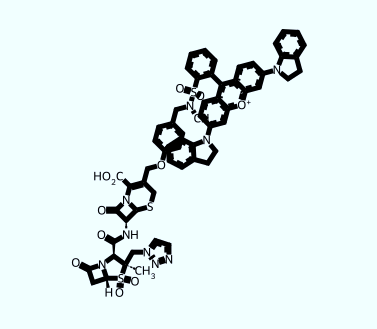 CN(Cc1ccc(OCC2=C(C(=O)O)N3C(=O)[C@@H](NC(=O)[C@@H]4N5C(=O)C[C@H]5S(=O)(=O)[C@]4(C)Cn4ccnn4)C3SC2)cc1)S(=O)(=O)c1ccccc1-c1c2ccc(N3CCc4ccccc43)cc2[o+]c2cc(N3CCc4ccccc43)ccc12